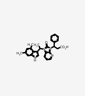 Cc1cc(C)c2c(C(C)n3c(=O)n(C(CC(=O)O)c4ccccc4)c4ncccc43)c[nH]c2c1